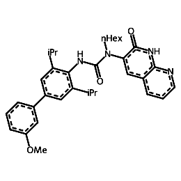 CCCCCCN(C(=O)Nc1c(C(C)C)cc(-c2cccc(OC)c2)cc1C(C)C)c1cc2cccnc2[nH]c1=O